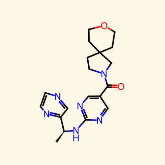 C[C@H](Nc1ncc(C(=O)N2CCC3(CCOCC3)C2)cn1)c1cnccn1